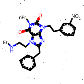 CCCn1c(=O)c2c(nc(Cc3ccccc3)n2CCNCC)n(CCc2cccc([N+](=O)[O-])c2)c1=O